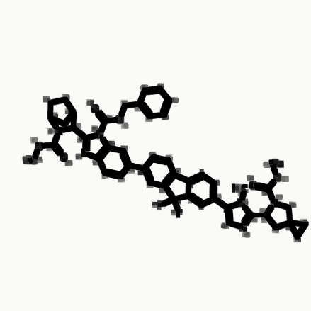 Cn1c(-c2ccc3c(c2)C(F)(F)c2cc(-c4ccc5nc(C6C7CCC(C7)N6C(=O)OC(C)(C)C)n(C(=O)OCc6ccccc6)c5c4)ccc2-3)cnc1[C@@H]1CC2(CC2)CN1C(=O)OC(C)(C)C